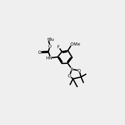 COc1cc(B2OC(C)(C)C(C)(C)O2)cc(NC(=O)OC(C)(C)C)c1F